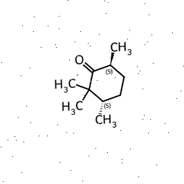 C[C@H]1CC[C@H](C)C(C)(C)C1=O